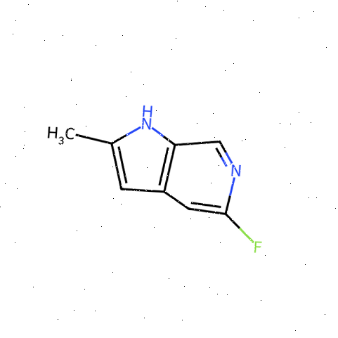 Cc1cc2cc(F)ncc2[nH]1